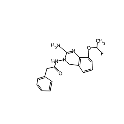 CC(F)Oc1cccc2c1N=C(N)N(NC(=O)Cc1ccccc1)C2